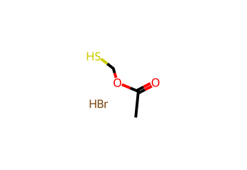 Br.CC(=O)OCS